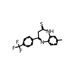 Cc1ccc2c(c1)NC(=S)CC(c1ccc(C(F)(F)F)cc1)=N2